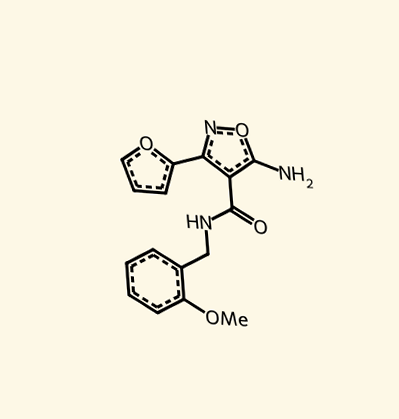 COc1ccccc1CNC(=O)c1c(-c2ccco2)noc1N